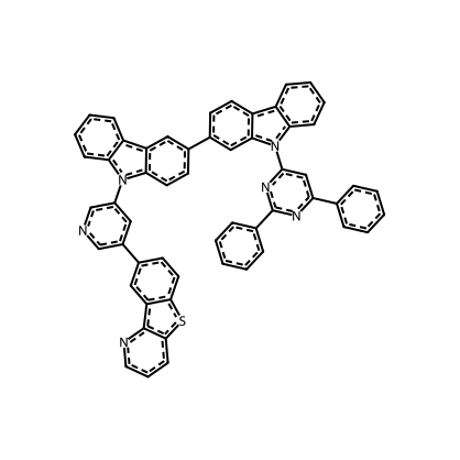 c1ccc(-c2cc(-n3c4ccccc4c4ccc(-c5ccc6c(c5)c5ccccc5n6-c5cncc(-c6ccc7sc8cccnc8c7c6)c5)cc43)nc(-c3ccccc3)n2)cc1